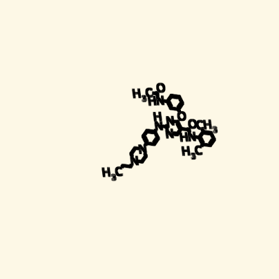 CCCN1CCN(c2ccc(Nc3ncc(C(=O)Nc4c(C)cccc4C)c(Oc4cccc(NC(C)=O)c4)n3)cc2)CC1